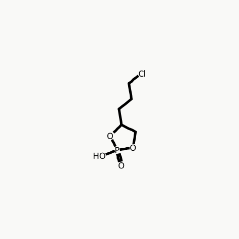 O=P1(O)OCC(CCCCl)O1